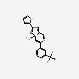 N[N+]12C=C(c3cccc(C(F)(F)F)c3)N=CC1=NC(c1ccco1)=N2